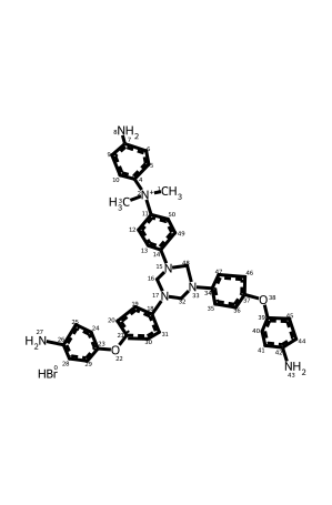 Br.C[N+](C)(c1ccc(N)cc1)c1ccc(N2CN(c3ccc(Oc4ccc(N)cc4)cc3)CN(c3ccc(Oc4ccc(N)cc4)cc3)C2)cc1